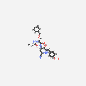 CC(=O)N[C@@H](COCc1ccccc1)C(=O)NC(CC(N)C#N)C(=O)/C=C/c1ccc(O)cc1